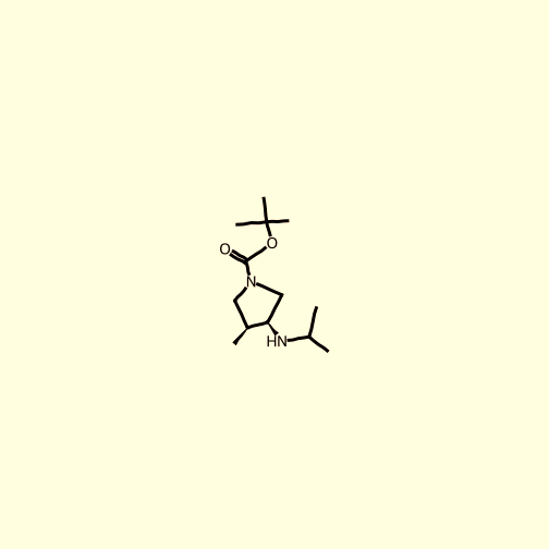 CC(C)N[C@@H]1CN(C(=O)OC(C)(C)C)C[C@@H]1C